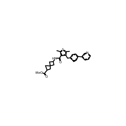 COC(=O)C1CC2(CC(NC(=O)c3c(C)sc(C)c3Cc3ccc(-c4cccnc4)cc3)C2)C1